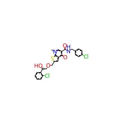 Cn1cc(C(=O)NCc2ccc(Cl)cc2)c(=O)c2cc(COC[C@@H](O)c3ccccc3Cl)sc21